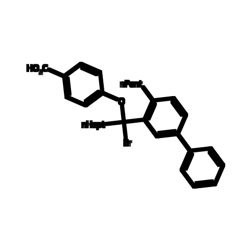 CCCCCCCC(Br)(Oc1ccc(C(=O)O)cc1)c1cc(-c2ccccc2)ccc1CCCCC